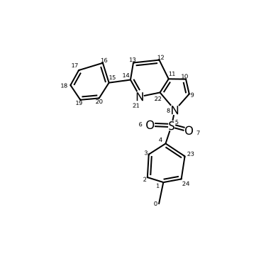 Cc1ccc(S(=O)(=O)n2ccc3ccc(-c4ccccc4)nc32)cc1